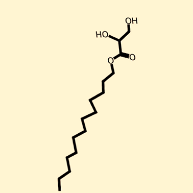 CCCCCCCCCCCCCOC(=O)C(O)CO